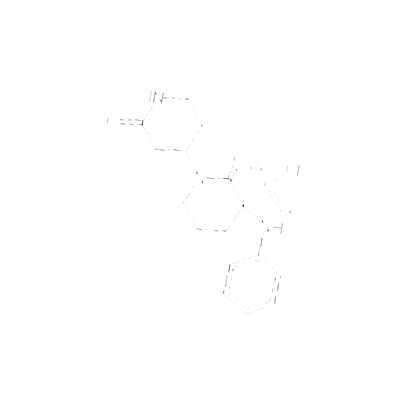 CS(=O)(=O)C1(Nc2ccccc2)CCCN(C2CCNC(=O)C2)C1=O